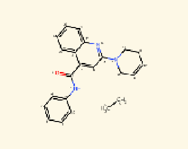 CC.O=C(Nc1ccccc1)c1cc(N2CC=CCC2)nc2ccccc12